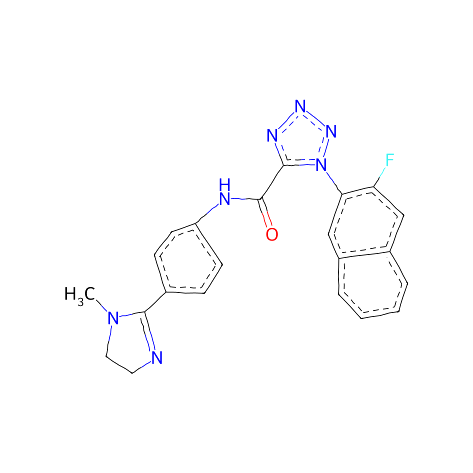 CN1CCN=C1c1ccc(NC(=O)c2nnnn2-c2cc3ccccc3cc2F)cc1